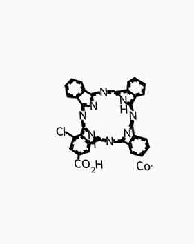 O=C(O)c1cc(Cl)c2c3nc4nc(nc5[nH]c(nc6nc(nc([nH]3)c2c1)-c1ccccc1-6)c1ccccc51)-c1ccccc1-4.[Co]